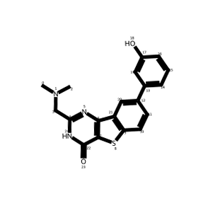 CN(C)Cc1nc2c(sc3ccc(-c4cccc(O)c4)cc32)c(=O)[nH]1